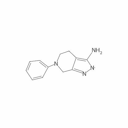 NC1=C2CCN(c3ccccc3)CC2=N[N]1